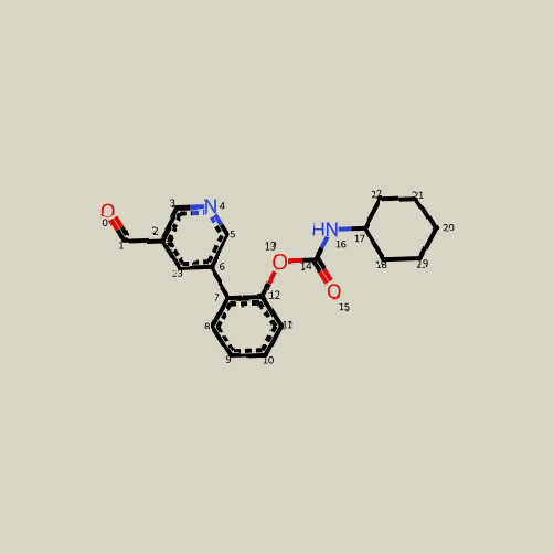 O=Cc1cncc(-c2ccccc2OC(=O)NC2CCCCC2)c1